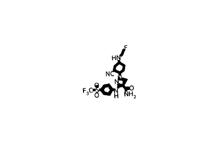 N#C[C@H]1CC(NCCF)CCC1n1cc(C(N)=O)c(Nc2ccc(S(=O)(=O)C(F)(F)F)cc2)n1